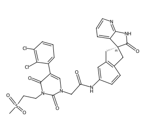 CS(=O)(=O)CCn1c(=O)c(-c2cccc(Cl)c2Cl)cn(CC(=O)Nc2ccc3c(c2)C[C@@]2(C3)C(=O)Nc3ncccc32)c1=O